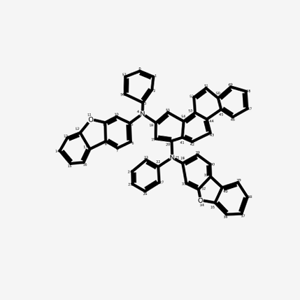 c1ccc(N(c2ccc3c(c2)oc2ccccc23)c2cc(N(c3ccccc3)c3ccc4c(c3)oc3ccccc34)c3ccc4c5ccccc5ccc4c3c2)cc1